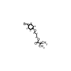 C=C(C)C(=O)OCCCOc1ccc(Br)cc1